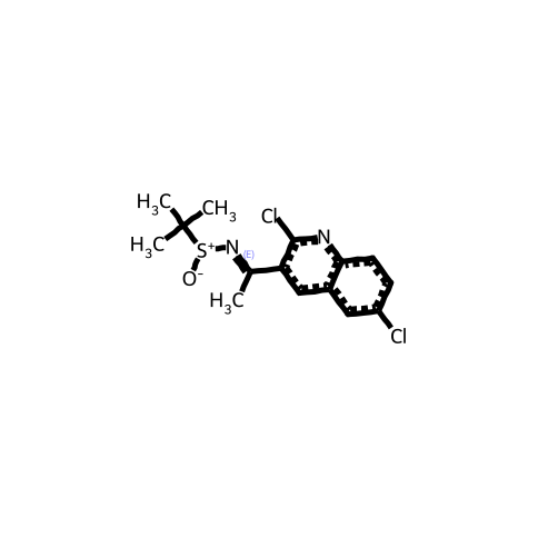 C/C(=N\[S+]([O-])C(C)(C)C)c1cc2cc(Cl)ccc2nc1Cl